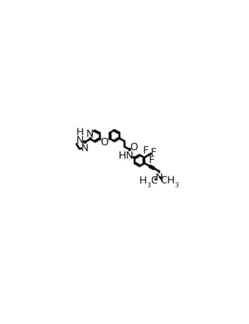 CN(C)CC#Cc1ccc(NC(=O)CCc2cccc(Oc3ccnc(C4=NCCN4)c3)c2)cc1C(F)(F)F